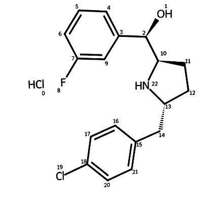 Cl.O[C@H](c1cccc(F)c1)[C@H]1CC[C@H](Cc2ccc(Cl)cc2)N1